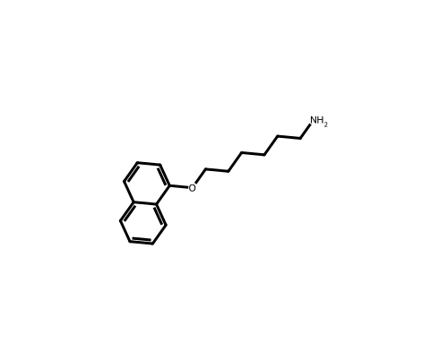 NCCCCCCOc1cccc2ccccc12